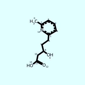 Cc1cccc(CCC(O)CC(=O)O)n1